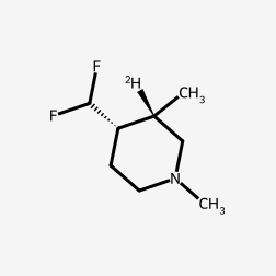 [2H][C@@]1(C)CN(C)CC[C@@H]1C(F)F